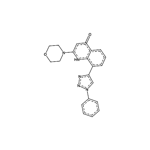 O=c1cc(N2CCOCC2)[nH]c2c(-c3cn(-c4ccccc4)nn3)cccc12